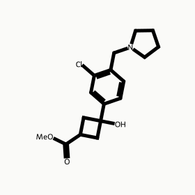 COC(=O)C1CC(O)(c2ccc(CN3CCCC3)c(Cl)c2)C1